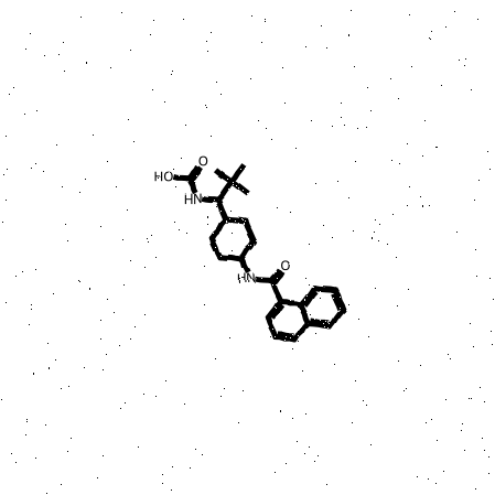 CC(C)(C)C(NC(=O)O)C1CCC(NC(=O)c2cccc3ccccc23)CC1